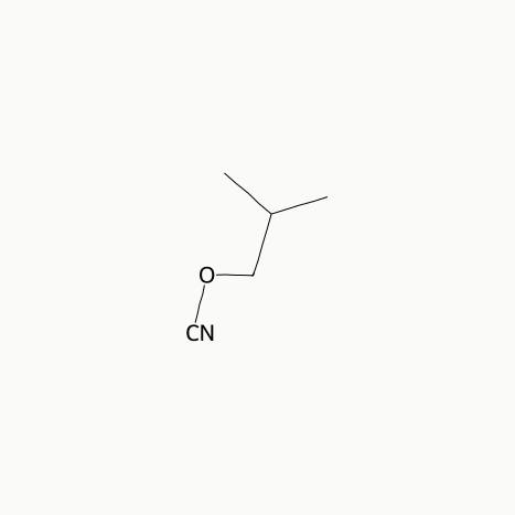 CC(C)COC#N